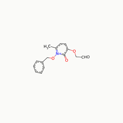 Cc1ccc(OCC=O)c(=O)n1OCc1ccccc1